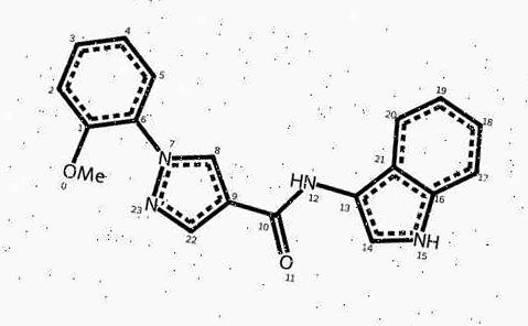 COc1ccccc1-n1cc(C(=O)Nc2c[nH]c3ccccc23)cn1